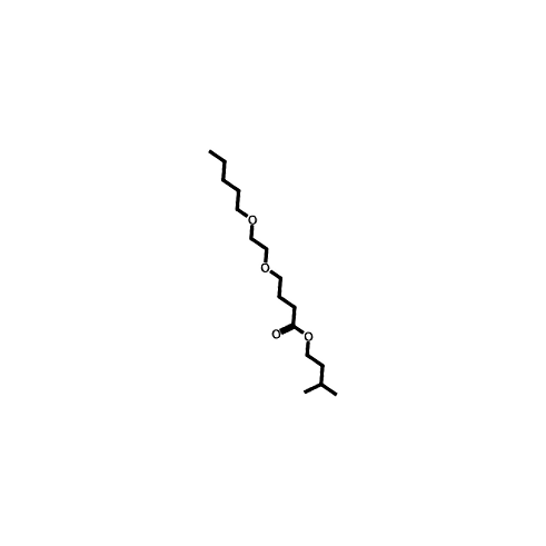 CCCCCOCCOCCCC(=O)OCCC(C)C